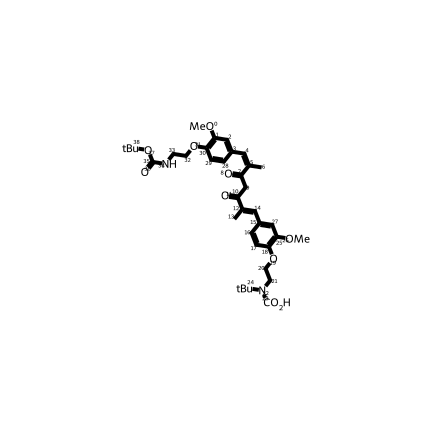 COc1cc(C=C(C)C(=O)CC(=O)C(C)=Cc2ccc(OCCN(C(=O)O)C(C)(C)C)c(OC)c2)ccc1OCCNC(=O)OC(C)(C)C